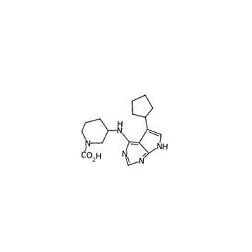 O=C(O)N1CCCC(Nc2ncnc3[nH]cc(C4CCCC4)c23)C1